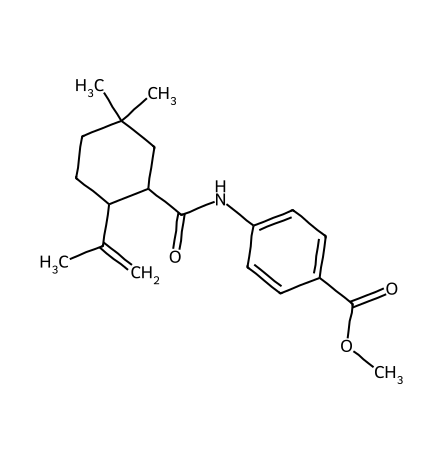 C=C(C)C1CCC(C)(C)CC1C(=O)Nc1ccc(C(=O)OC)cc1